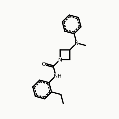 CCc1ccccc1NC(=O)N1CC(N(C)c2ccccc2)C1